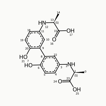 C[C@H](Nc1ccc(O)c(-c2cc(N[C@@H](C)C(=O)O)ccc2O)c1)C(=O)O